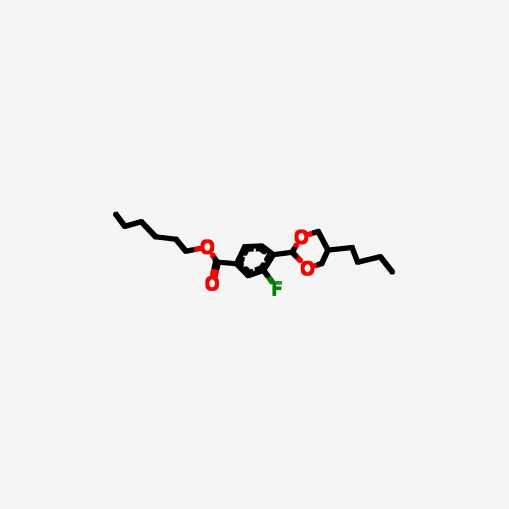 CCCCCCOC(=O)c1ccc(C2OCC(CCCC)CO2)c(F)c1